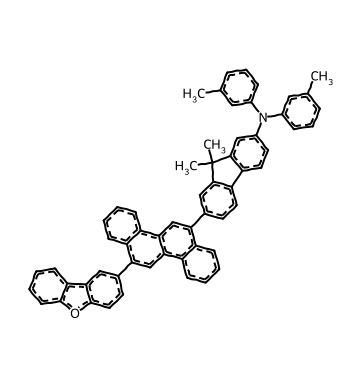 Cc1cccc(N(c2cccc(C)c2)c2ccc3c(c2)C(C)(C)c2cc(-c4cc5c6ccccc6c(-c6ccc7oc8ccccc8c7c6)cc5c5ccccc45)ccc2-3)c1